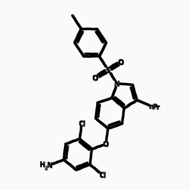 CCCc1cn(S(=O)(=O)c2ccc(C)cc2)c2ccc(Oc3c(Cl)cc(N)cc3Cl)cc12